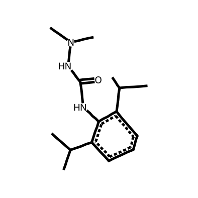 CC(C)c1cccc(C(C)C)c1NC(=O)NN(C)C